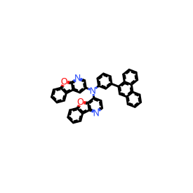 c1cc(-c2cc3ccccc3c3ccccc23)cc(N(c2cnc3oc4ccccc4c3c2)c2ccnc3c2oc2ccccc23)c1